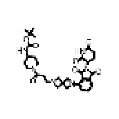 CC(C)(C)OC(=O)NC1CCN(C(=O)CCN2CC3(C2)CN(c2cccc4c2C(=O)N(C2CCC(=O)NC2=O)C4=O)C3)CC1